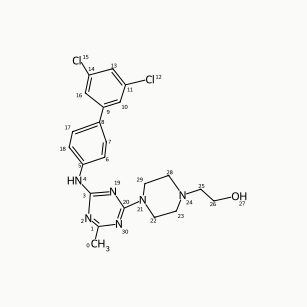 Cc1nc(Nc2ccc(-c3cc(Cl)cc(Cl)c3)cc2)nc(N2CCN(CCO)CC2)n1